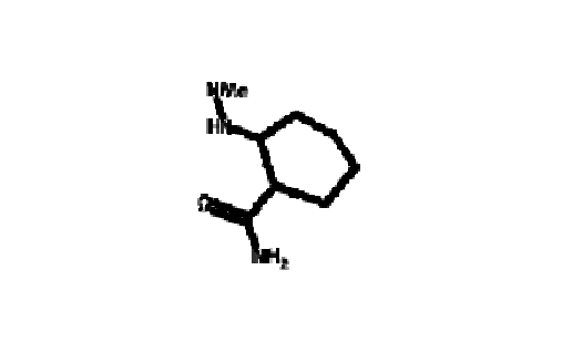 CNNC1CCCCC1C(N)=O